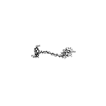 CC(=O)[C@@H]1C[C@@H](O)CN1C(O)[C@@H](NC(=O)COCCOCCOCCOCCCC[C@@H]1Cc2cc(O)ccc2[C@H]2CC[C@]3(C)[C@@H](O)CC[C@H]3[C@H]12)C(C)(C)C